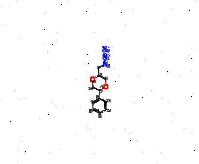 [N-]=[N+]=NCC1COC(c2ccccc2)CO1